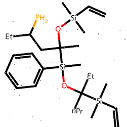 C=C[Si](C)(C)OC(C)(CC(P)CC)[Si](C)(OC(CC)(CCC)[Si](C)(C)C=C)c1ccccc1